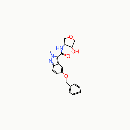 Cn1nc2ccc(OCc3ccccc3)cc2c1C(=O)NC1COCC1O